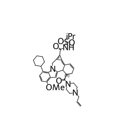 C=CCN1CCN(C(=O)[C@@H]2CC=CC3=C4C(=C4C(=O)NS(=O)(=O)C(C)C)Cn4c(cc5c(OC)ccc(C6CCCCC6)c54)C32)CC1